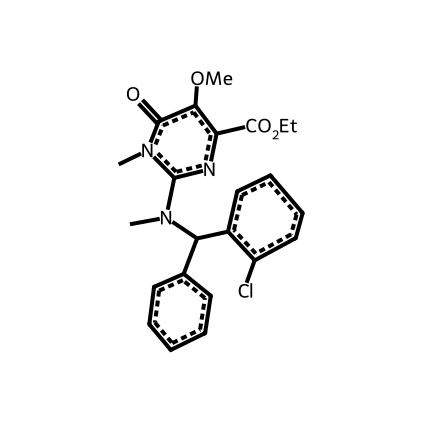 CCOC(=O)c1nc(N(C)C(c2ccccc2)c2ccccc2Cl)n(C)c(=O)c1OC